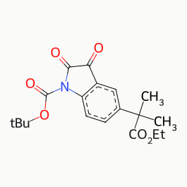 CCOC(=O)C(C)(C)c1ccc2c(c1)C(=O)C(=O)N2C(=O)OC(C)(C)C